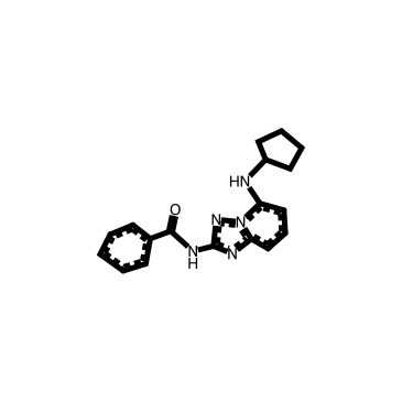 O=C(Nc1nc2cccc(NC3CCCC3)n2n1)c1ccccc1